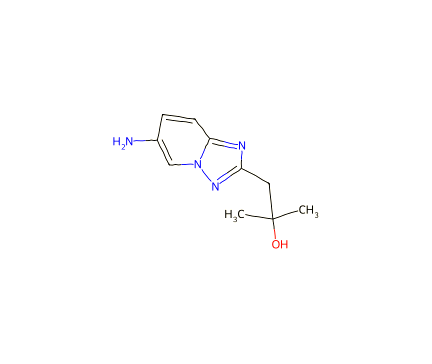 CC(C)(O)Cc1nc2ccc(N)cn2n1